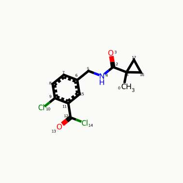 CC1(C(=O)NCc2ccc(Cl)c(C(=O)Cl)c2)CC1